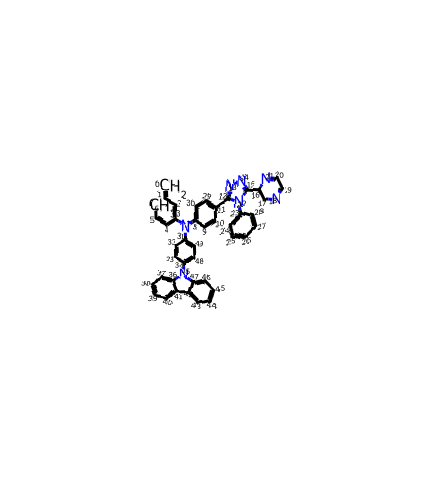 C=C/C=C(\C=C/C)N(c1ccc(-c2nnc(C3CN=CC=N3)n2-c2ccccc2)cc1)c1ccc(-n2c3ccccc3c3ccccc32)cc1